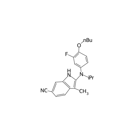 CCCCOc1ccc(N(c2[nH]c3cc(C#N)ccc3c2C)C(C)C)cc1F